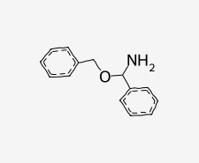 NC(OCc1ccccc1)c1ccccc1